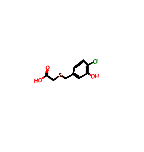 O=C(O)CSCc1ccc(Cl)c(O)c1